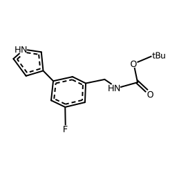 CC(C)(C)OC(=O)NCc1cc(F)cc(-c2cc[nH]c2)c1